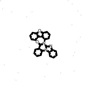 O=c1c2ccccc2n2c3ccccc3nc2n1-c1cccc2oc3ccccc3c12